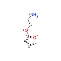 NCCOc1ccco1